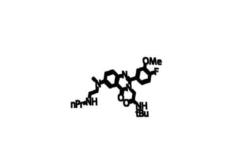 CCCNCCN(C)c1ccc2nc(-c3ccc(F)c(OC)c3)n(CC(=O)NC(C)(C)C)c(=O)c2c1